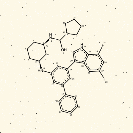 OC(N[C@@H]1CCC[C@H](Nc2cc(-c3ccccc3)nc(-c3c[nH]c4c(F)cc(F)cc34)n2)C1)N1CCCC1